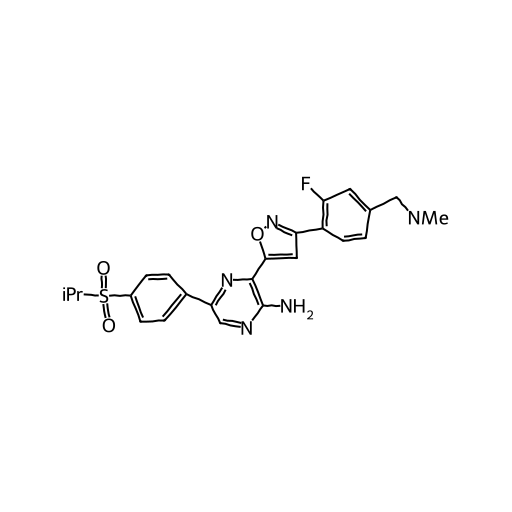 CNCc1ccc(-c2cc(-c3nc(-c4ccc(S(=O)(=O)C(C)C)cc4)cnc3N)on2)c(F)c1